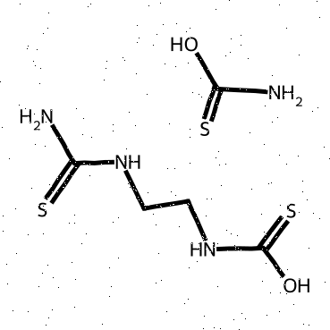 NC(=S)NCCNC(O)=S.NC(O)=S